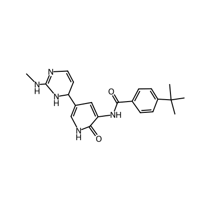 CNC1=NC=CC(c2c[nH]c(=O)c(NC(=O)c3ccc(C(C)(C)C)cc3)c2)N1